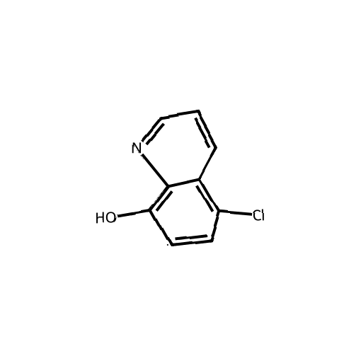 Oc1[c]cc(Cl)c2cccnc12